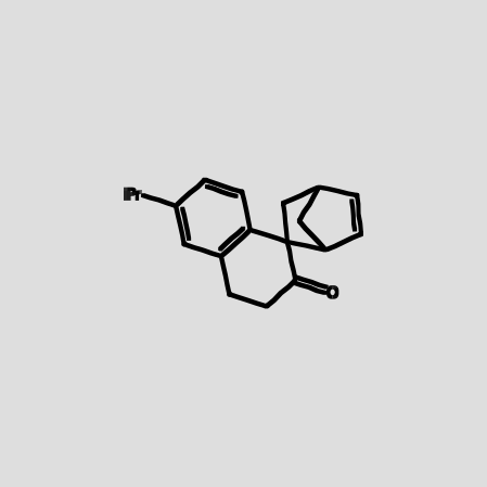 CC(C)c1ccc2c(c1)CCC(=O)C21CC2C=CC1C2